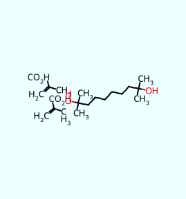 C=C(C)C(=O)O.C=C(C)C(=O)O.CC(C)(O)CCCCCCC(C)(C)O